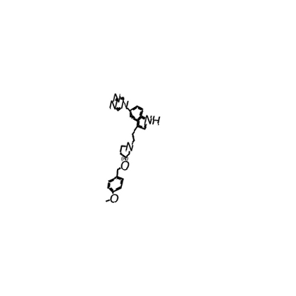 COc1ccc(CO[C@@H]2CCN(CCc3c[nH]c4ccc(-n5cnnc5)cc34)C2)cc1